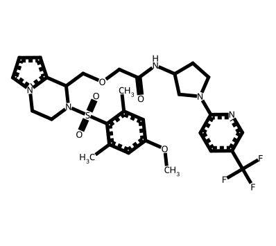 COc1cc(C)c(S(=O)(=O)N2CCn3cccc3C2COCC(=O)NC2CCN(c3ccc(C(F)(F)F)cn3)C2)c(C)c1